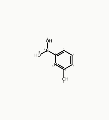 OB(O)c1cccc(O)n1